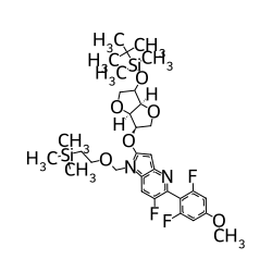 COc1cc(F)c(-c2nc3cc(O[C@@H]4CO[C@@H]5C(O[Si](C)(C)C(C)(C)C)CO[C@@H]54)n(COCC[Si](C)(C)C)c3cc2F)c(F)c1